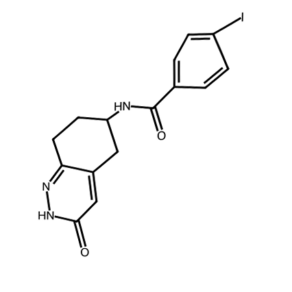 O=C(NC1CCc2n[nH]c(=O)cc2C1)c1ccc(I)cc1